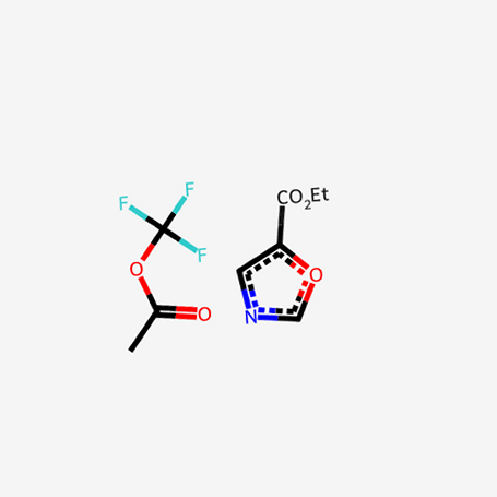 CC(=O)OC(F)(F)F.CCOC(=O)c1cnco1